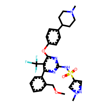 COCc1ccccc1-c1nc(NS(=O)(=O)c2cnn(C)c2)nc(Oc2ccc(C3CCN(C)CC3)cc2)c1C(F)(F)F